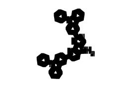 c1ccc(-n2c3ccccc3c3cc(-c4ccc5c(n4)-c4nc(-c6ccc7c(c6)c6ccccc6n7-c6ccccc6)ncc4[SiH2]5)ccc32)cc1